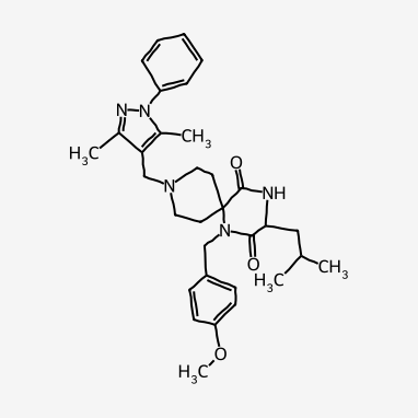 COc1ccc(CN2C(=O)C(CC(C)C)NC(=O)C23CCN(Cc2c(C)nn(-c4ccccc4)c2C)CC3)cc1